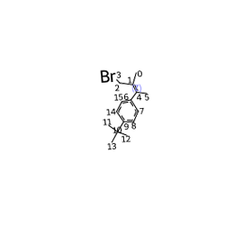 C/C(CBr)=C(\C)c1ccc(C(C)(C)C)cc1